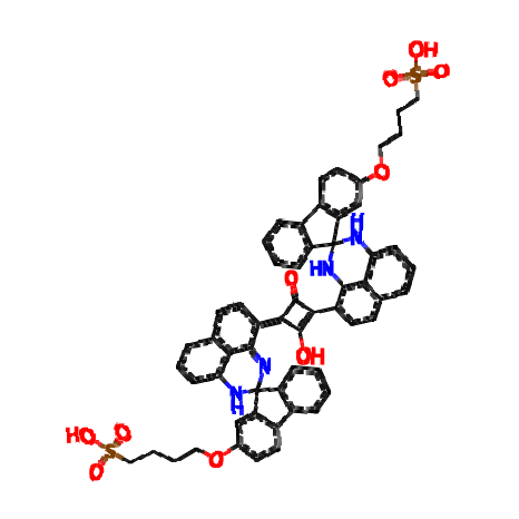 O=C1C(c2ccc3cccc4c3c2NC2(N4)c3ccccc3-c3ccc(OCCCCS(=O)(=O)O)cc32)=C(O)/C1=c1/ccc2cccc3c2c1=NC1(N3)c2ccccc2-c2ccc(OCCCCS(=O)(=O)O)cc21